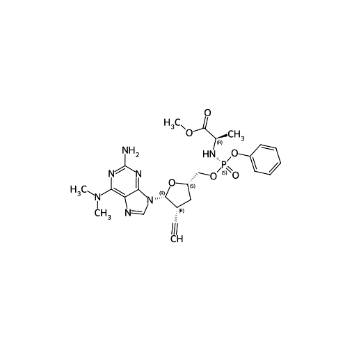 C#C[C@H]1C[C@@H](CO[P@@](=O)(N[C@H](C)C(=O)OC)Oc2ccccc2)O[C@H]1n1cnc2c(N(C)C)nc(N)nc21